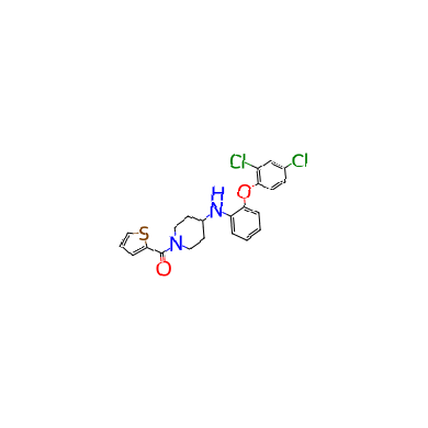 O=C(c1cccs1)N1CCC(Nc2ccccc2Oc2ccc(Cl)cc2Cl)CC1